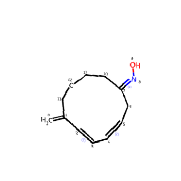 C=C1/C=C\C=C/C/C(=N/O)CCCC1